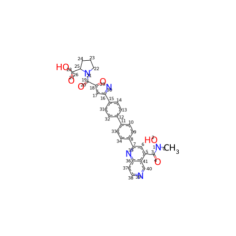 CN(O)C(=O)c1cc(-c2ccc(-c3ccc(-c4cc(C(=O)N5CCCC5C(=O)O)on4)cc3)cc2)nc2ccncc12